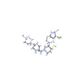 CC(C)c1c2c(nn1C)CCN(c1nc(Nc3cnc(N4CCN(C)CC4)cn3)ncc1F)C2